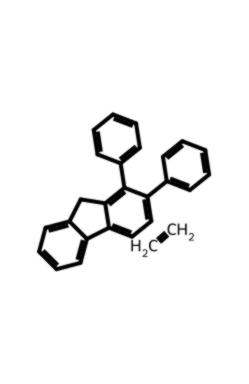 C=C.c1ccc(-c2ccc3c(c2-c2ccccc2)Cc2ccccc2-3)cc1